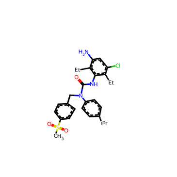 CCc1c(N)cc(Cl)c(CC)c1NC(=O)N(Cc1ccc(S(C)(=O)=O)cc1)c1ccc(C(C)C)cc1